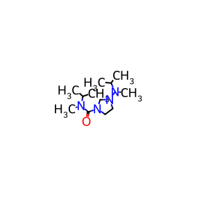 CC(C)N(C)C(=O)N1CCN(N(C)C(C)C)C1